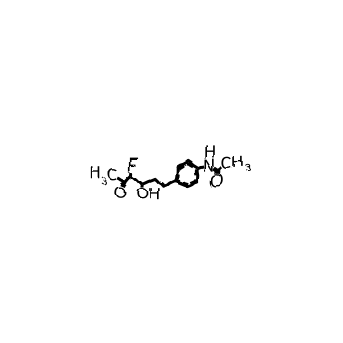 CC(=O)Nc1ccc(CCC(O)C(F)C(C)=O)cc1